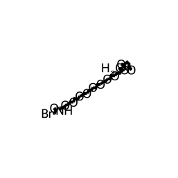 C=C(CCOCCOCCOCCOCCOCCOCCOCCOCCNC(=O)CBr)ON1C(=O)CCC1=O